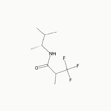 CC(C)[C@@H](C)NC(=O)C(C)C(F)(F)F